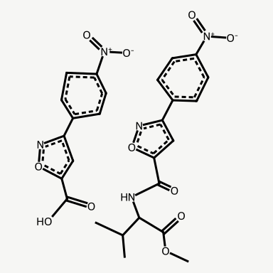 COC(=O)C(NC(=O)c1cc(-c2ccc([N+](=O)[O-])cc2)no1)C(C)C.O=C(O)c1cc(-c2ccc([N+](=O)[O-])cc2)no1